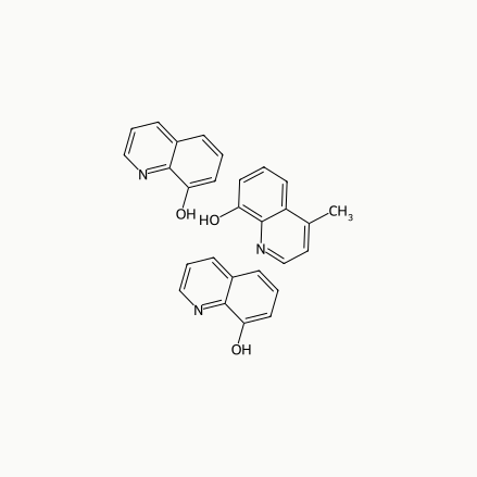 Cc1ccnc2c(O)cccc12.Oc1cccc2cccnc12.Oc1cccc2cccnc12